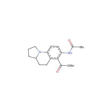 COC(=O)c1c(NC(=O)C(C)(C)C)ccc2c1CCC1CCCN21